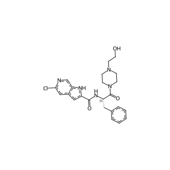 O=C(N[C@@H](Cc1ccccc1)C(=O)N1CCN(CCO)CC1)c1cc2cc(Cl)ncc2[nH]1